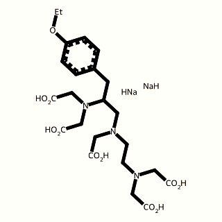 CCOc1ccc(CC(CN(CCN(CC(=O)O)CC(=O)O)CC(=O)O)N(CC(=O)O)CC(=O)O)cc1.[NaH].[NaH]